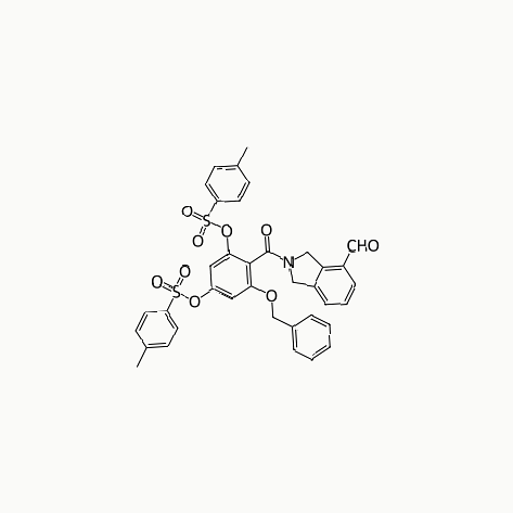 Cc1ccc(S(=O)(=O)Oc2cc(OCc3ccccc3)c(C(=O)N3Cc4cccc(C=O)c4C3)c(OS(=O)(=O)c3ccc(C)cc3)c2)cc1